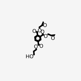 O=C(OCCCO)c1ccc(C(=O)OCC2CO2)c(C(=O)OCC2CO2)c1